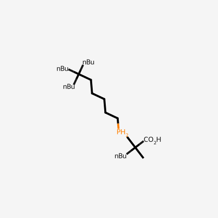 CCCCC(C)(C)C(=O)O.CCCCC(CCCC)(CCCC)CCCCCP